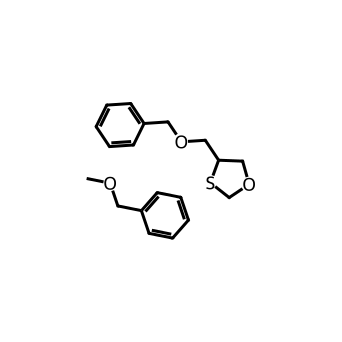 COCc1ccccc1.c1ccc(COCC2COCS2)cc1